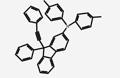 Cc1ccc(N(c2ccc(C)cc2)c2ccc3c(c2)C(C#Cc2ccccc2)(c2ccccc2)c2ccccc2-3)cc1